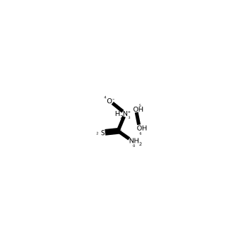 NC(=S)[NH2+][O-].OO